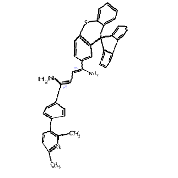 Cc1ccc(-c2ccc(/C(N)=C/C=C(\N)c3ccc4c(c3)C3(c5ccccc5S4)c4ccccc4-c4ccccc43)cc2)c(C)n1